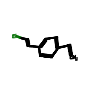 C=Cc1ccc(C=CCl)cc1